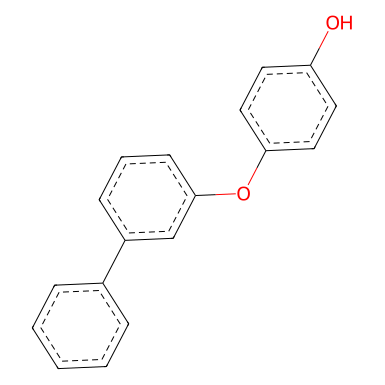 Oc1ccc(Oc2cccc(-c3ccccc3)c2)cc1